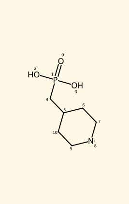 O=P(O)(O)CC1CC[N]CC1